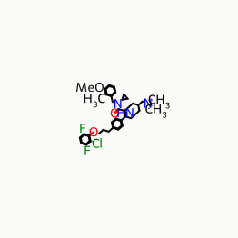 COc1cccc(CN(C(=O)C2=C(c3ccc(CCCOc4c(F)ccc(F)c4Cl)cc3)CC3CC(CN(C)C)CC2N3)C2CC2)c1C